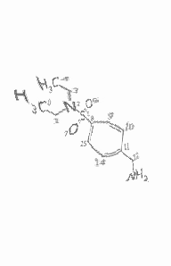 CCN(CC)S(=O)(=O)c1ccc(CN)cc1